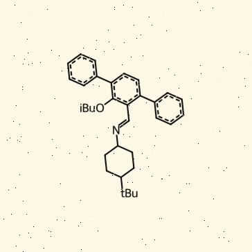 CC(C)COc1c(-c2ccccc2)ccc(-c2ccccc2)c1/C=N/C1CCC(C(C)(C)C)CC1